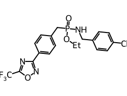 CCOP(=O)(Cc1ccc(-c2noc(C(F)(F)F)n2)cc1)NCc1ccc(Cl)cc1